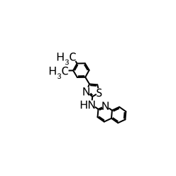 Cc1ccc(-c2csc(Nc3ccc4ccccc4n3)n2)cc1C